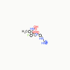 Cc1cccc(-c2c(F)cccc2C(O)(CCCNC(=O)O)C2CCCN(C(=O)c3ccc(CNCCc4nnn[nH]4)cc3)C2)c1